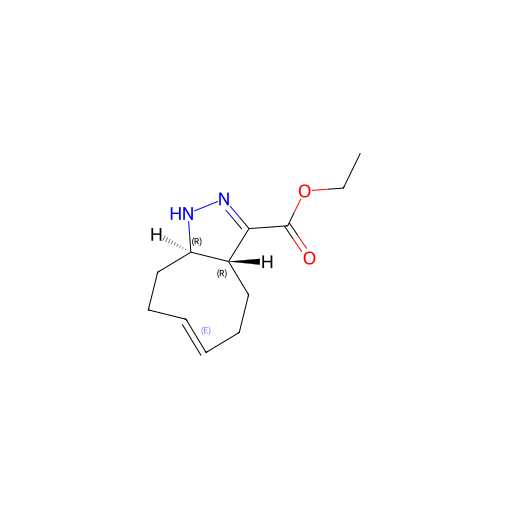 CCOC(=O)C1=NN[C@@H]2CC/C=C/CC[C@@H]12